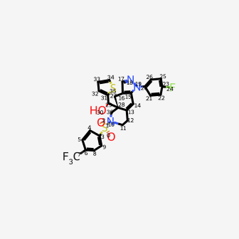 O=S(=O)(c1ccc(C(F)(F)F)cc1)N1CCC2=Cc3c(cnn3-c3ccc(F)cc3)C[C@]2([C@@H](O)c2cccs2)C1